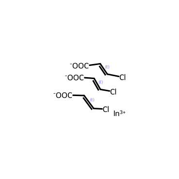 O=C([O-])/C=C/Cl.O=C([O-])/C=C/Cl.O=C([O-])/C=C/Cl.[In+3]